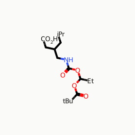 CCC(OC(=O)NCC(CC(=O)O)CC(C)C)OC(=O)C(C)(C)C